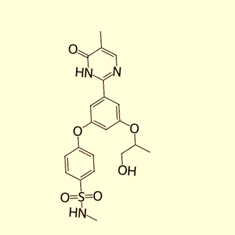 CNS(=O)(=O)c1ccc(Oc2cc(OC(C)CO)cc(-c3ncc(C)c(=O)[nH]3)c2)cc1